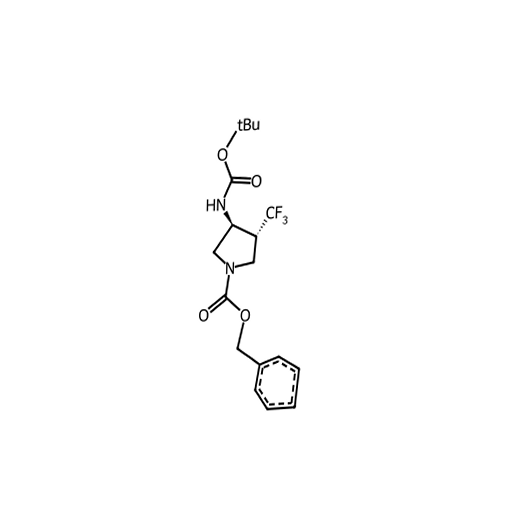 CC(C)(C)OC(=O)N[C@@H]1CN(C(=O)OCc2ccccc2)C[C@H]1C(F)(F)F